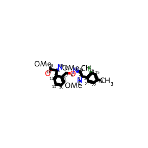 CON=C(C(C)=NOCc1ccccc1C(=NOC)C(=O)OC)c1ccc(C)cc1F